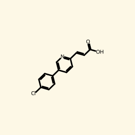 O=C(O)C=Cc1ccc(-c2ccc(Cl)cc2)cn1